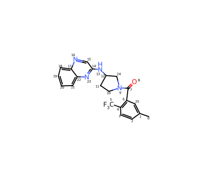 Cc1ccc(C(F)(F)F)c(C(=O)N2CCC(Nc3cnc4ccccc4n3)C2)c1